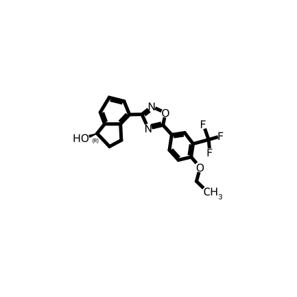 CCOc1ccc(-c2nc(-c3cccc4c3CC[C@H]4O)no2)cc1C(F)(F)F